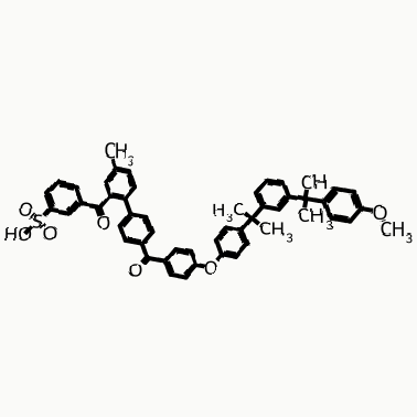 COc1ccc(C(C)(C)c2cccc(C(C)(C)c3ccc(Oc4ccc(C(=O)c5ccc(-c6ccc(C)cc6C(=O)c6cccc(S(=O)(=O)O)c6)cc5)cc4)cc3)c2)cc1